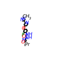 CC(C)c1cc(NC(=O)Nc2ccc(Oc3ccnc(-c4cnn(C)c4)c3)cc2F)no1